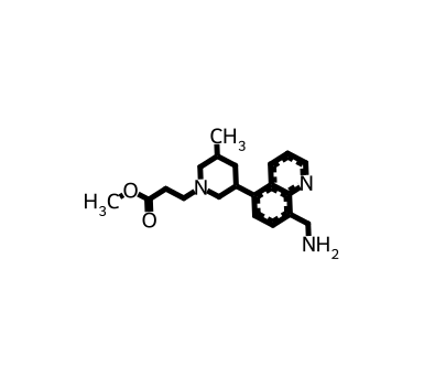 COC(=O)CCN1CC(C)CC(c2ccc(CN)c3ncccc23)C1